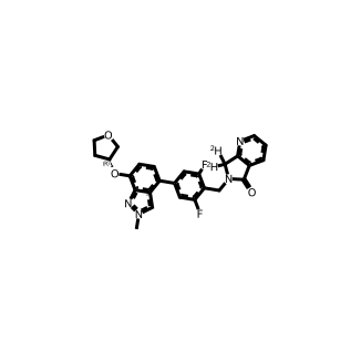 [2H]C1([2H])c2ncccc2C(=O)N1Cc1c(F)cc(-c2ccc(O[C@@H]3CCOC3)c3nn(C)cc23)cc1F